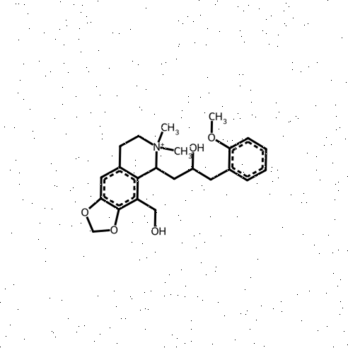 COc1ccccc1CC(O)CC1c2c(cc3c(c2CO)OCO3)CC[N+]1(C)C